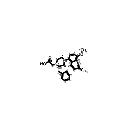 COc1ccc(N2CCN(CC(=O)O)[C@@H](Cc3ccccc3)C2)c2ccc(C)nc12